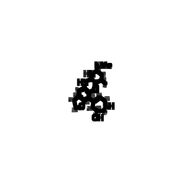 CNC1CC(C)NC(Nc2cc3c(c(C4=CCNC[C@H](O)C4)c2Cl)OCC3)N1